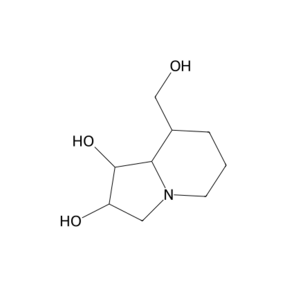 OCC1CCCN2CC(O)C(O)C12